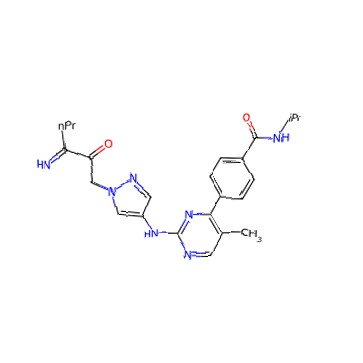 CCCC(=N)C(=O)Cn1cc(Nc2ncc(C)c(-c3ccc(C(=O)NC(C)C)cc3)n2)cn1